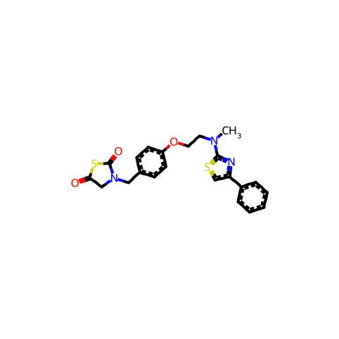 CN(CCOc1ccc(CN2CC(=O)SC2=O)cc1)c1nc(-c2ccccc2)cs1